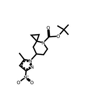 Cc1cc([N+](=O)[O-])nn1C1CCN(C(=O)OC(C)(C)C)C2(CC2)C1